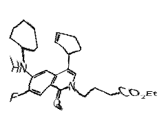 CCOC(=O)CCCn1cc(C2C=CCC2)c2cc(NC3CCCCC3)c(F)cc2c1=O